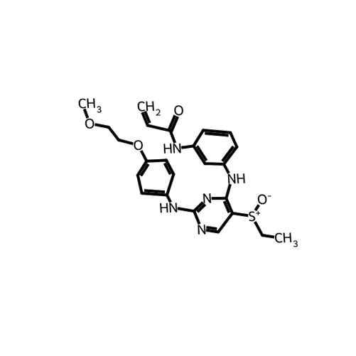 C=CC(=O)Nc1cccc(Nc2nc(Nc3ccc(OCCOC)cc3)ncc2[S+]([O-])CC)c1